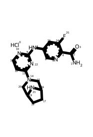 Cl.NC(=O)c1ncc(Nc2nccc(N3CC4CCC(C3)N4)n2)cc1F